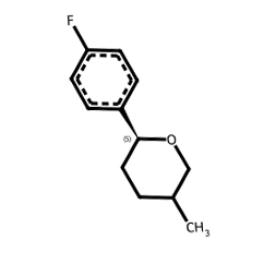 CC1CC[C@@H](c2ccc(F)cc2)OC1